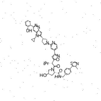 Cc1ncsc1-c1ccc([C@H](C)NC(=O)[C@@H]2C[C@@H](O)CN2C(=O)[C@@H](c2cc(-c3ccnc(N4CC[C@@H](c5cc6nnc(-c7ccccc7O)cc6n5C5CC5)C4)c3)no2)C(C)C)cc1